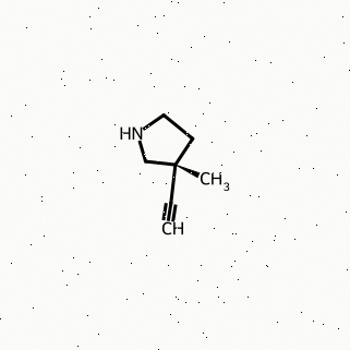 C#C[C@@]1(C)CCNC1